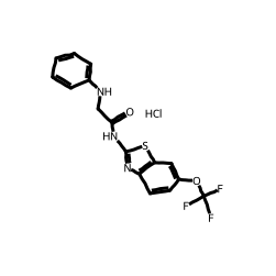 Cl.O=C(CNc1ccccc1)Nc1nc2ccc(OC(F)(F)F)cc2s1